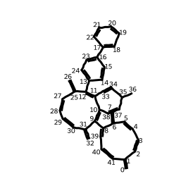 C=c1ccccc(=C)c(-c2c3c(c(-c4ccc(-c5ccccc5)cc4)c(=C)ccccc2=C)C=CC(C)C=C3)ccc1